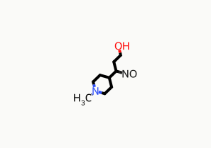 CN1CCC(C(CCO)N=O)CC1